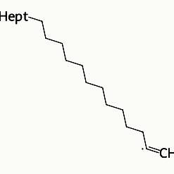 C=[C]CCCCCCCCCCCCCCCCCC